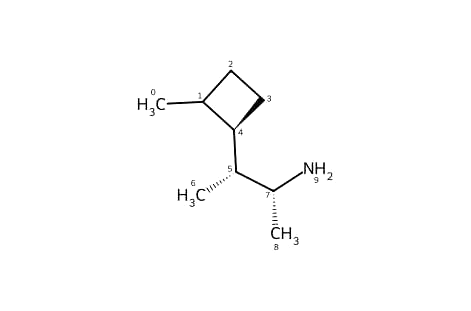 CC1CC[C@H]1[C@@H](C)[C@@H](C)N